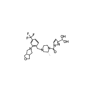 C[C@@H]1CN(Cc2ccc(C(F)(F)F)cc2N2CC3COCC3C2)CCN1C(=O)n1ccc(C(O)O)n1